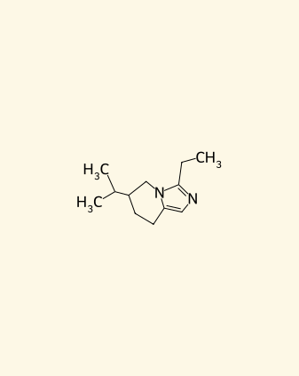 CCc1ncc2n1CC(C(C)C)CC2